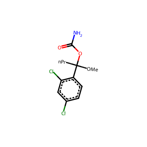 CCCC(OC)(OC(N)=O)c1ccc(Cl)cc1Cl